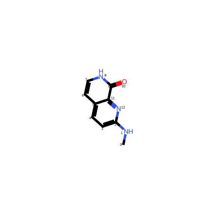 CNc1ccc2cc[nH]c(=O)c2n1